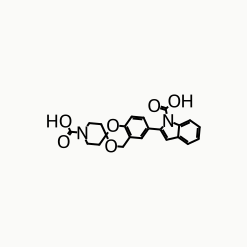 O=C(O)N1CCC2(CC1)OCc1cc(-c3cc4ccccc4n3C(=O)O)ccc1O2